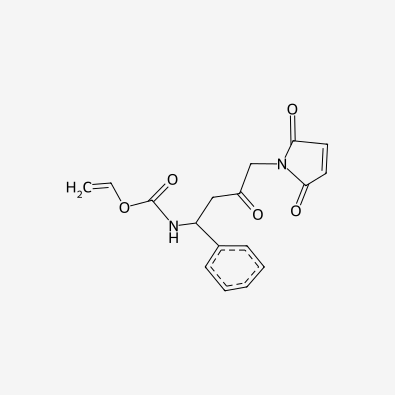 C=COC(=O)NC(CC(=O)CN1C(=O)C=CC1=O)c1ccccc1